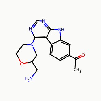 CC(=O)c1ccc2c(c1)[nH]c1ncnc(N3CCOC(CN)C3)c12